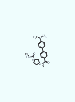 CCNC(=O)[C@H]1CC[C@@H](N(C)C(=O)c2ccc(-c3ccc(N(C(F)(F)F)C(F)(F)F)cc3)cc2)C1